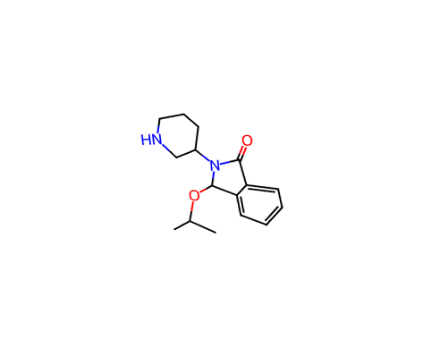 CC(C)OC1c2ccccc2C(=O)N1C1CCCNC1